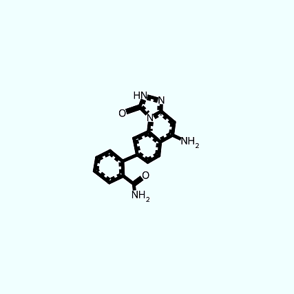 NC(=O)c1ccccc1-c1ccc2c(N)cc3n[nH]c(=O)n3c2c1